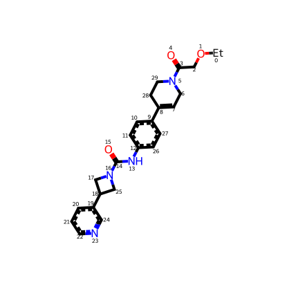 CCOCC(=O)N1CC=C(c2ccc(NC(=O)N3CC(c4cccnc4)C3)cc2)CC1